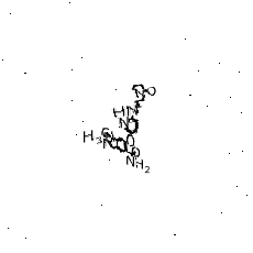 Cn1ncc2cc(C(N)=O)c(Oc3ccc(NCCCN4CCCC4=O)nc3)cc21